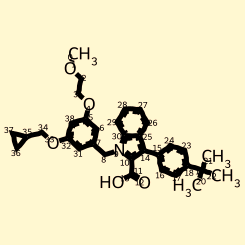 COCCOc1cc(Cn2c(C(=O)O)c(-c3ccc(C(C)(C)C)cc3)c3ccccc32)cc(OCC2CC2)c1